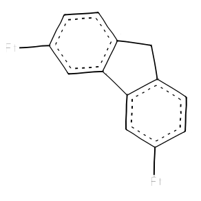 CCc1ccc2c(c1)-c1cc(CC)ccc1[CH]2